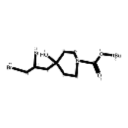 CC(C)(C)OC(=O)N1CCC(O)(CC(Br)CBr)CC1